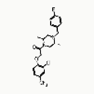 C[C@@H]1CN(C(=O)COc2ccc(C(F)(F)F)cc2Cl)[C@@H](C)CN1Cc1ccc(F)cc1